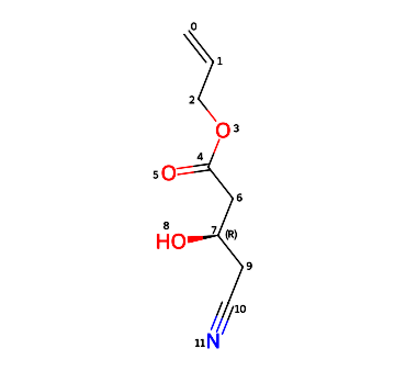 C=CCOC(=O)C[C@H](O)CC#N